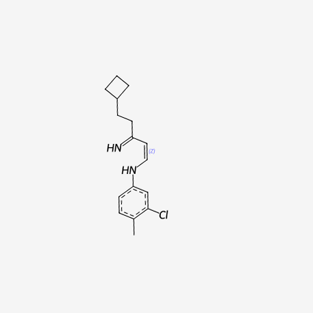 Cc1ccc(N/C=C\C(=N)CCC2CCC2)cc1Cl